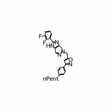 CCCCCc1ccc(-c2cc(CN3Cc4nc(-c5cccc(F)c5F)[nH]c4C=N3)on2)cc1